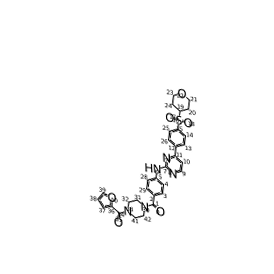 O=C(c1ccc(Nc2nccc(-c3ccc(S(=O)(=O)C4CCOCC4)cc3)n2)cc1)N1CCN(C(=O)c2ccco2)CC1